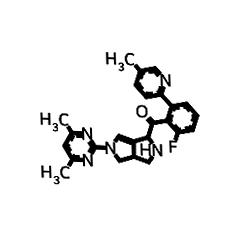 Cc1ccc(-c2cccc(F)c2C(=O)C2NCC3CN(c4nc(C)cc(C)n4)C=C32)nc1